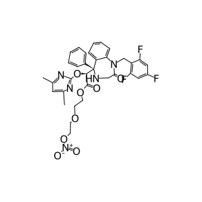 Cc1cc(C)nc(O[C@H](C(=O)OCCOCCO[N+](=O)[O-])[C@@]2(c3ccccc3)NCC(=O)N(Cc3c(F)cc(F)cc3F)c3ccccc32)n1